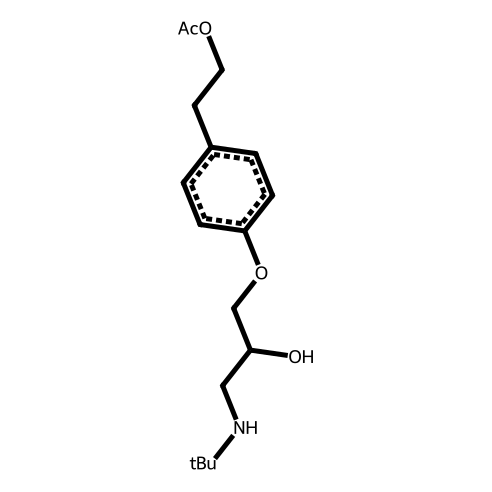 CC(=O)OCCc1ccc(OCC(O)CNC(C)(C)C)cc1